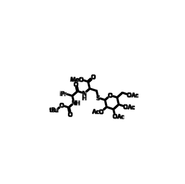 COC(=O)C(CSC1OC(COC(C)=O)C(OC(C)=O)C(OC(C)=O)C1OC(C)=O)NC(=O)C(NC(=O)OC(C)(C)C)C(C)C